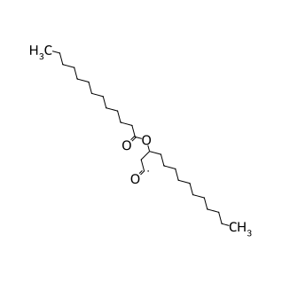 CCCCCCCCCCCCC(=O)OC(C[C]=O)CCCCCCCCCCC